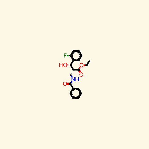 CCOC(=O)[C@H](CNC(=O)c1ccccc1)[C@H](O)c1ccccc1F